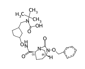 CC(C)(C)N(CC1CCC(ONC(=O)[C@@H]2CC[C@@H]3CN2C(=O)N3OCc2ccccc2)C1)C(=O)O